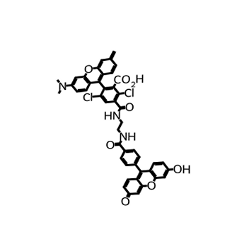 C=c1ccc2c(c1)Oc1cc(N(C)C)ccc1C=2c1c(Cl)cc(C(=O)NCCNC(=O)c2ccc(-c3c4ccc(=O)cc-4oc4cc(O)ccc34)cc2)c(Cl)c1C(=O)O